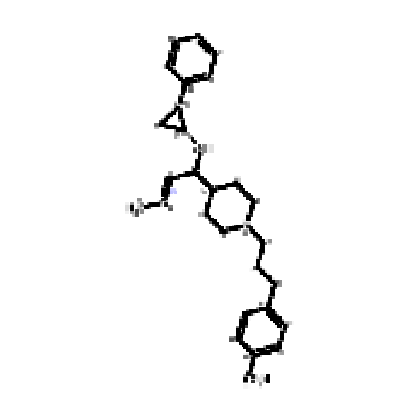 C/N=C/C(N[C@@H]1C[C@H]1c1ccccc1)C1CCN(CCCc2ccc(C(=O)O)cc2)CC1